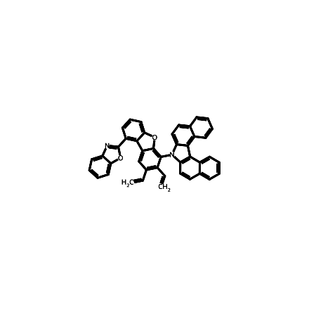 C=Cc1cc2c(oc3cccc(-c4nc5ccccc5o4)c32)c(-n2c3ccc4ccccc4c3c3c4ccccc4ccc32)c1C=C